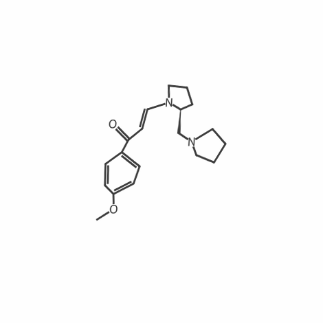 COc1ccc(C(=O)/C=C/N2CCC[C@H]2CN2CCCC2)cc1